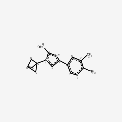 Nc1ncc(-c2cn(C34CC(C3)C4)c(C=O)n2)cc1C(F)(F)F